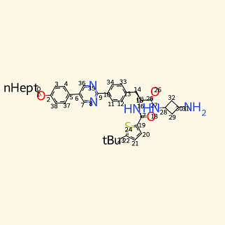 CCCCCCCOc1ccc(-c2cnc(-c3ccc(C[C@H](NC(=O)c4ccc(C(C)(C)C)s4)C(=O)NC4CC(N)C4)cc3)nc2)cc1